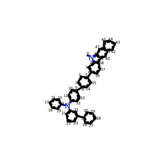 Cn1c2cc(-c3ccc(-c4ccc(N(c5ccccc5)c5cccc(-c6ccccc6)c5)cc4)cc3)ccc2c2cc3ccccc3cc21